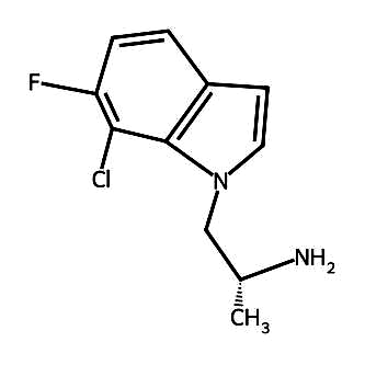 C[C@@H](N)Cn1ccc2ccc(F)c(Cl)c21